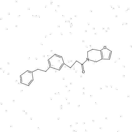 O=C(CCc1cccc(CCc2ccccc2)c1)N1CCc2occc2C1